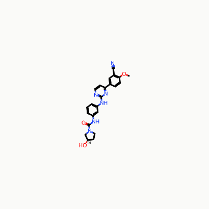 COc1ccc(-c2ccnc(Nc3cccc(NC(=O)N4CC[C@@H](O)C4)c3)n2)cc1C#N